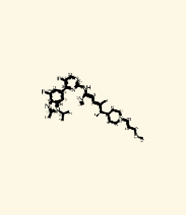 C=N/C(=C\C=C(/C)[C@H](C)C1CCN(CCCOC)CC1)Nc1ncc(F)c(-c2cc(F)c3nc(C)n(C(C)C)c3c2)n1